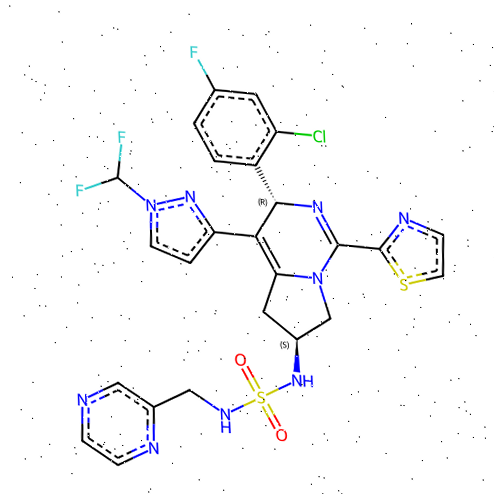 O=S(=O)(NCc1cnccn1)N[C@H]1CC2=C(c3ccn(C(F)F)n3)[C@H](c3ccc(F)cc3Cl)N=C(c3nccs3)N2C1